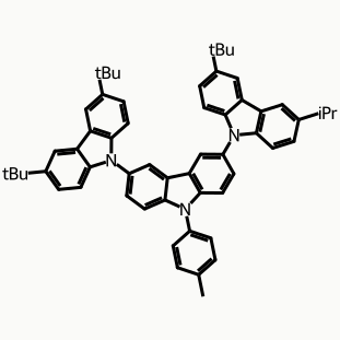 Cc1ccc(-n2c3ccc(-n4c5ccc(C(C)C)cc5c5cc(C(C)(C)C)ccc54)cc3c3cc(-n4c5ccc(C(C)(C)C)cc5c5cc(C(C)(C)C)ccc54)ccc32)cc1